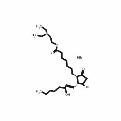 Br.CCCCCC(O)C=C[C@H]1C(O)CC(=O)[C@@H]1CCCCCCC(=O)OCCN(CC)CC